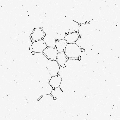 C=CC(=O)N1C[C@H](C)N(c2nc(=O)n(-c3c(C(C)C)nc(N(C)C(C)=O)nc3C(C)C)c3nc(-c4ccccc4F)c(Cl)cc23)C[C@H]1C